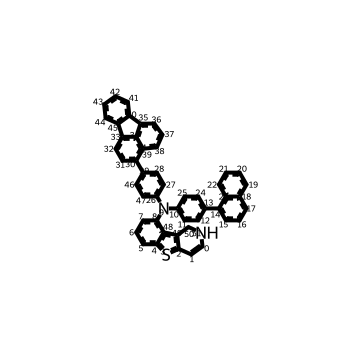 C1=Cc2sc3cccc(N(c4ccc(-c5cccc6ccccc56)cc4)c4ccc(-c5ccc6c7c(cccc57)-c5ccccc5-6)cc4)c3c2CN1